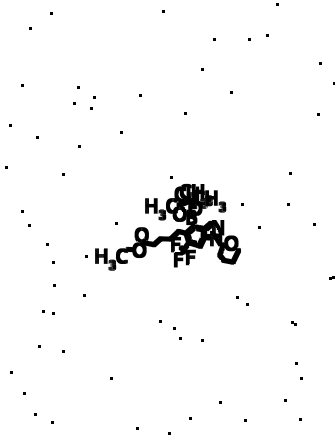 CCOC(=O)CCCCc1c(C(F)(F)F)cc2c(cnn2C2CCCCO2)c1B1OC(C)(C)C(C)(C)O1